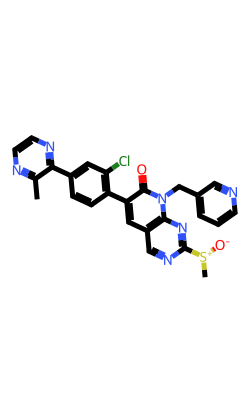 Cc1nccnc1-c1ccc(-c2cc3cnc([S+](C)[O-])nc3n(Cc3cccnc3)c2=O)c(Cl)c1